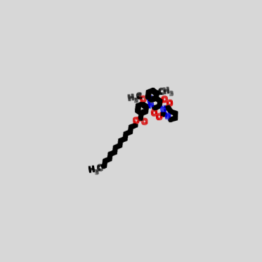 CCCCCCCCCCCCCCOC(=O)c1ccc(OC)c(NC(=O)C(C(=O)c2ccccc2C)N2C(=O)C3CCCN3C2=O)c1